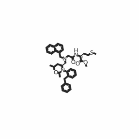 COC(=O)[C@H](CCSC)NC(=O)CN(Cc1cccc2ccccc12)C[C@H](CC(C)C)N(C(C)=O)c1ccccc1Cc1ccccc1